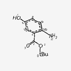 CC(C)(C)OC(=O)c1nc(O)ccc1N